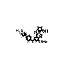 COc1cc(Cc2ccc(-c3cnn(C)c3)cc2)cc2c(=O)n([C@@H]3CCC[C@H]3O)cnc12